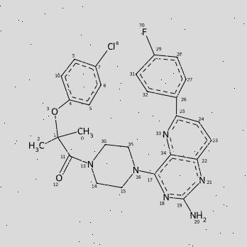 CC(C)(Oc1ccc(Cl)cc1)C(=O)N1CCN(c2nc(N)nc3ccc(-c4ccc(F)cc4)nc23)CC1